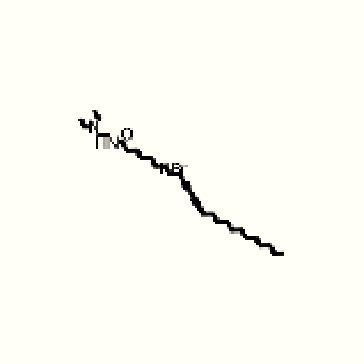 Br.CCCCCCCCCCCCC#CC#CCCCCCCCCC(=O)NCCN(CC)CC